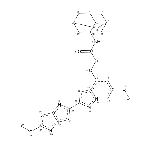 COc1cc(OCC(=O)NC23CC4CC(CC(C4)C2)C3)c2cc(-c3cn4nc(OC)sc4n3)nn2c1